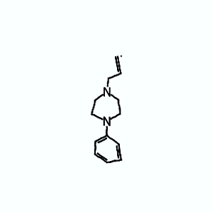 [CH]=CCN1CCN(c2ccccc2)CC1